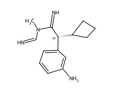 CN(C=N)C(=N)[C@@H](c1cccc(N)c1)C1CCC1